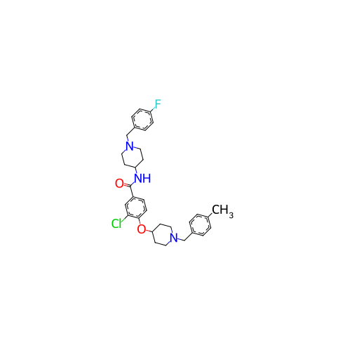 Cc1ccc(CN2CCC(Oc3ccc(C(=O)NC4CCN(Cc5ccc(F)cc5)CC4)cc3Cl)CC2)cc1